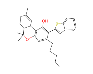 CCCCCc1cc2c(c(O)c1-c1cc3ccccc3s1)C1C=C(C)CCC1C(C)(C)O2